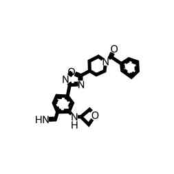 N=Cc1ccc(-c2noc(C3CCN(C(=O)c4ccccc4)CC3)n2)cc1NC1COC1